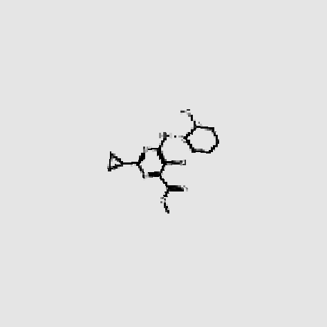 COC(=O)c1nc(C2CC2)nc(N[C@H]2CCCC[C@@H]2O)c1Cl